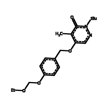 CCOCOc1ccc(COc2cnn(C(C)(C)C)c(=O)c2C)cc1